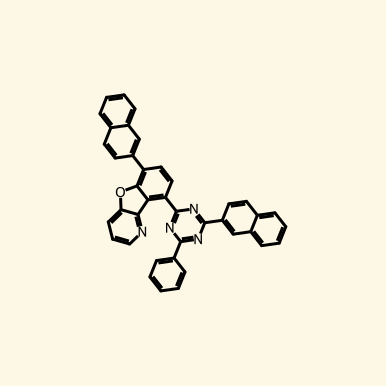 c1ccc(-c2nc(-c3ccc4ccccc4c3)nc(-c3ccc(-c4ccc5ccccc5c4)c4oc5cccnc5c34)n2)cc1